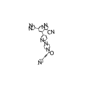 CN1CC(C#CC(=O)N2CCN(c3ccc(-c4cc(-c5cnn(C)c5)cn5ncc(C#N)c45)cn3)CC2)C1